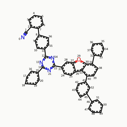 N#Cc1ccccc1-c1ccc(-c2nc(-c3ccccc3)nc(-c3ccc4c(c3)oc3c(-c5ccccc5)ccc(-c5cccc(-c6ccccc6)c5)c34)n2)cc1